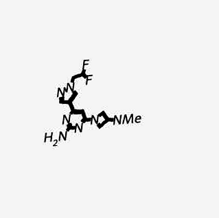 CNC1CN(c2cc(-c3cnn(CC(F)F)c3)nc(N)n2)C1